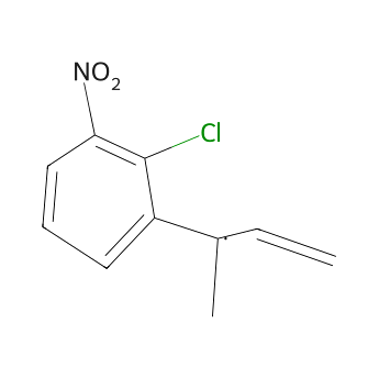 C=C[C](C)c1cccc([N+](=O)[O-])c1Cl